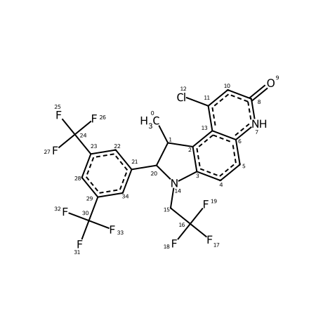 CC1c2c(ccc3[nH]c(=O)cc(Cl)c23)N(CC(F)(F)F)C1c1cc(C(F)(F)F)cc(C(F)(F)F)c1